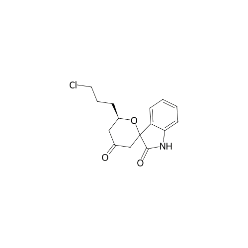 O=C1C[C@@H](CCCCl)OC2(C1)C(=O)Nc1ccccc12